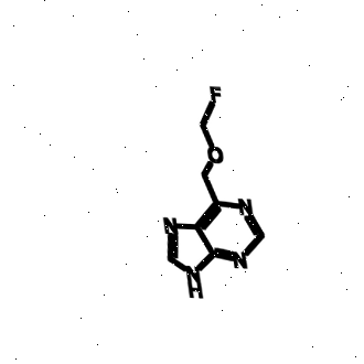 FCOCc1ncnc2[nH]cnc12